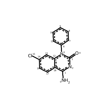 Nc1nc(=O)n(-c2ccccc2)c2cc(Cl)ccc12